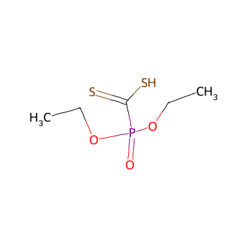 CCOP(=O)(OCC)C(=S)S